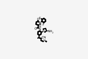 C=N/C=C\C(C#N)=C(/C)c1ccc(NC(=O)c2ccc(=O)n(-c3c(F)cccc3F)n2)c(N2CC[C@@H](N)C2)c1